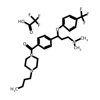 CCCCN1CCN(C(=O)c2ccc(C(CCN(C)C)Oc3ccc(C(F)(F)F)cc3)cc2)CC1.O=C(O)C(F)(F)F